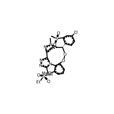 CCS(=O)(=O)Nc1nnc2n1-c1c(OC)cccc1OO[C@@H](c1ccc(Cl)cc1S(C)(=O)=O)c1cc-2nn1C